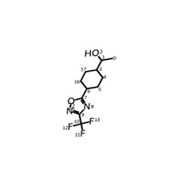 CC(O)C1CCC(c2nc(C(F)(F)F)no2)CC1